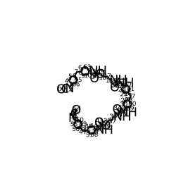 O=C=Nc1ccc(Cc2ccc(NC(=O)OCCCNC(=O)Nc3ccc(Cc4ccc(NC(=O)NCCCOC(=O)Nc5ccc(Cc6ccc(N=C=O)cc6)cc5)cc4)cc3)cc2)cc1